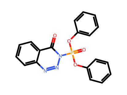 O=c1c2ccccc2nnn1P(=O)(Oc1ccccc1)Oc1ccccc1